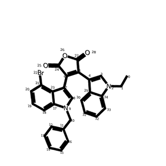 CCn1cc(C2=C(c3cn(Cc4ccccc4)c4cccc(Br)c34)C(=O)OC2=O)c2ccccc21